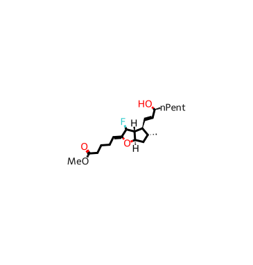 CCCCC[C@H](O)/C=C/[C@@H]1[C@H]2C(F)/C(=C/CCCC(=O)OC)O[C@@H]2C[C@H]1C